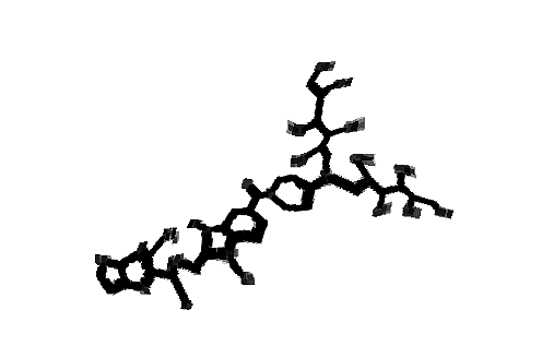 CCn1c(CNC(=O)c2nc3cc[nH]c3nc2N)[n+](CC)c2ccc(C(=O)N3CCC(N(CC(O)C(O)C(O)C(O)CO)CC(O)C(O)C(O)C(O)CO)CC3)cc21